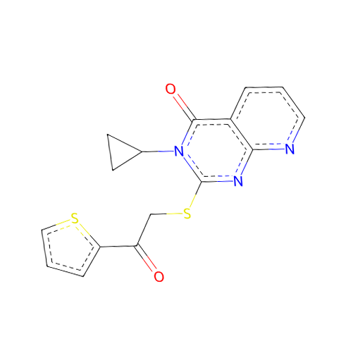 O=C(CSc1nc2ncccc2c(=O)n1C1CC1)c1cccs1